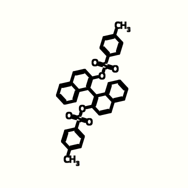 Cc1ccc(S(=O)(=O)Oc2ccc3ccccc3c2-c2c(OS(=O)(=O)c3ccc(C)cc3)ccc3ccccc23)cc1